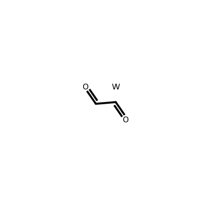 O=CC=O.[W]